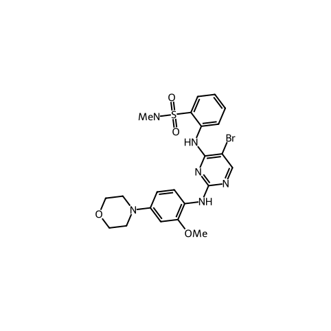 CNS(=O)(=O)c1ccccc1Nc1nc(Nc2ccc(N3CCOCC3)cc2OC)ncc1Br